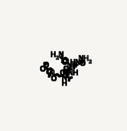 COC(=O)C1CCN(C(=O)CCC(=O)N[C@H](C(=O)N[C@@H](CCCNC(N)=O)C(=O)Nc2ccc(CN)cc2)C(C)C)C(C)C1